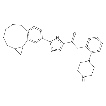 O=C(Cc1ccccc1N1CCNCC1)c1csc(-c2ccc3c(c2)C2CC2CCCCC3)n1